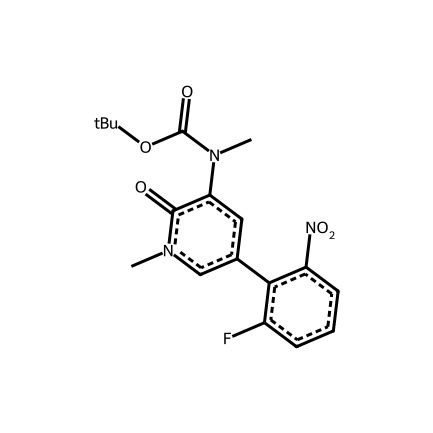 CN(C(=O)OC(C)(C)C)c1cc(-c2c(F)cccc2[N+](=O)[O-])cn(C)c1=O